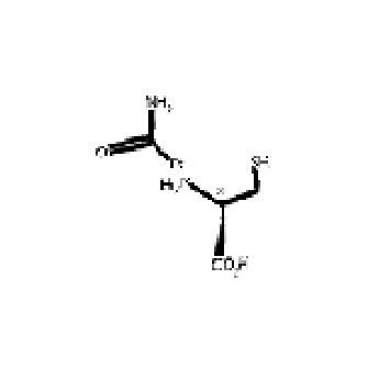 CCC(N)=O.N[C@@H](CS)C(=O)O